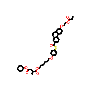 C=CC(=O)OCCOc1ccc2c(ccc3cc(C(=O)Sc4ccc(OCCCCCCOC(=O)C(=C)CC(=O)OC5CCCCC5)cc4)ccc32)c1